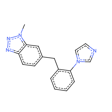 Cn1nnc2ccc(Cc3ccccc3-n3ccnc3)cc21